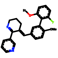 CCOc1cccc(F)c1-c1cc(C=C2CCCN=C2c2cccnc2)ccc1OC